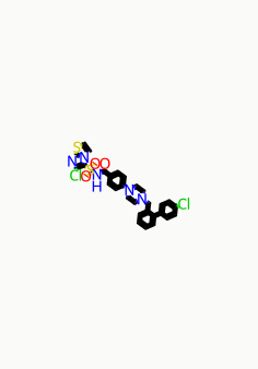 O=C(NS(=O)(=O)c1c(Cl)nc2sccn12)c1ccc(N2CCN(Cc3ccccc3-c3ccc(Cl)cc3)CC2)cc1